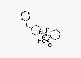 O=C(O)C1(S(=O)(=O)N2CCC(Cc3ccccc3)CC2)CCCCC1